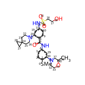 CSc1ccc(NC(=O)c2ccc(NS(=O)(=O)CCO)cc2N2CCC3(CC2)CC3)cc1N1CCO[C@H](C)C1